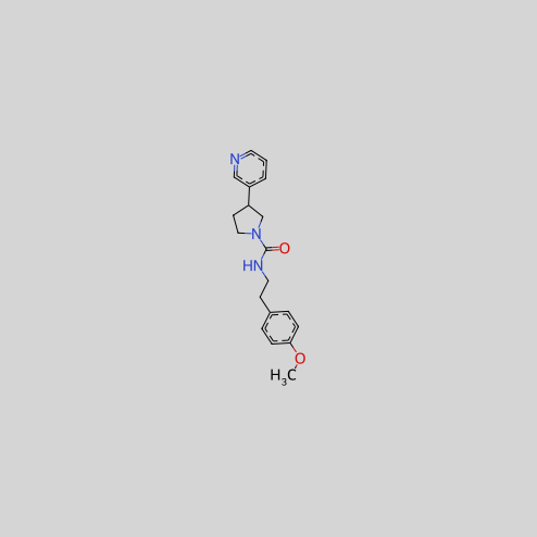 COc1ccc(CCNC(=O)N2CCC(c3cccnc3)C2)cc1